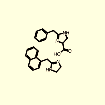 O=C(O)C1CNC(Cc2ccccc2)=N1.c1ccc2c(CC3=NCCN3)cccc2c1